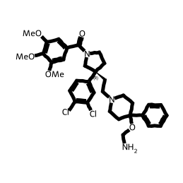 COc1cc(C(=O)N2CC[C@](CCN3CCC(OCN)(c4ccccc4)CC3)(c3ccc(Cl)c(Cl)c3)C2)cc(OC)c1OC